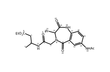 CCOC(=O)CC(C)NC(=O)CN1C(=O)c2cc(NC(C)=O)ccc2NC(=O)C1C(C)C